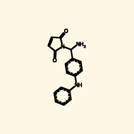 NC(c1ccc(Nc2ccccc2)cc1)N1C(=O)C=CC1=O